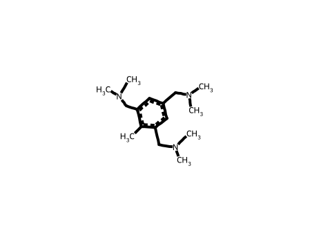 Cc1c(CN(C)C)cc(CN(C)C)cc1CN(C)C